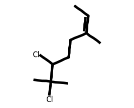 CC=C(C)CCC(Cl)C(C)(C)Cl